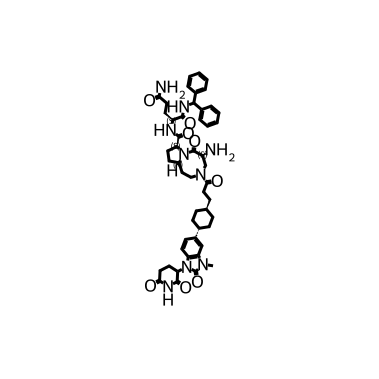 Cn1c(=O)n(C2CCC(=O)NC2=O)c2ccc([C@H]3CC[C@H](CCC(=O)N4CC[C@H]5CC[C@@H](C(=O)N[C@@H](CCC(N)=O)C(=O)NC(c6ccccc6)c6ccccc6)N5C(=O)[C@@H](N)C4)CC3)cc21